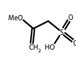 C=C(CS(=O)(=O)O)OC